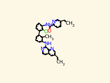 C=Cc1ccc(C(=O)Nc2cccc(-c3cccc(Nc4nccc5cc(C=C)cnc45)c3C)c2Cl)nc1